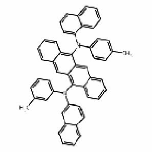 Cc1ccc(N(c2cccc3ccccc23)c2c3ccccc3cc3c(N(c4cccc(C)c4)c4ccc5ccccc5c4)c4ccccc4cc23)cc1